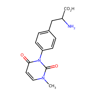 Cn1ccc(=O)n(-c2ccc(CC(N)C(=O)O)cc2)c1=O